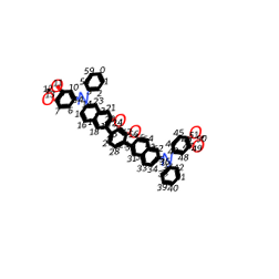 c1ccc(N(c2ccc3c(c2)OCO3)c2ccc3cc4c(cc3c2)oc2c4ccc3c4cc5ccc(N(c6ccccc6)c6ccc7c(c6)OCO7)cc5cc4oc32)cc1